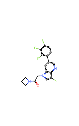 O=C(Cn1cc(F)c2ncc(-c3ccc(F)c(F)c3F)cc21)N1CCC1